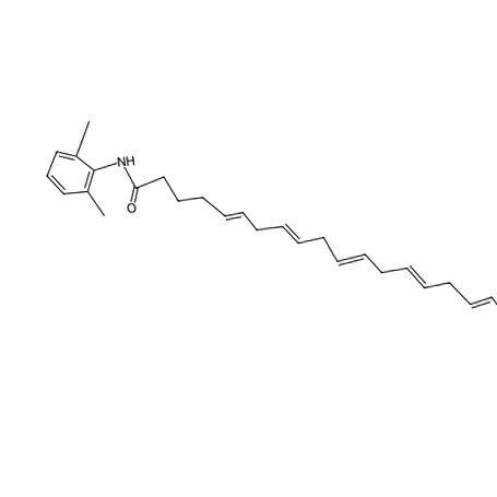 CCC=CCC=CCC=CCC=CCC=CCCCC(=O)Nc1c(C)cccc1C